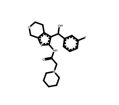 O=C(CN1CCCCC1)Nc1sc2c(c1C(O)c1cccc(F)c1)CCOC2